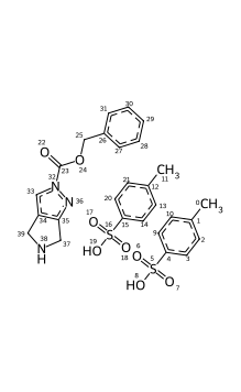 Cc1ccc(S(=O)(=O)O)cc1.Cc1ccc(S(=O)(=O)O)cc1.O=C(OCc1ccccc1)n1cc2c(n1)CNC2